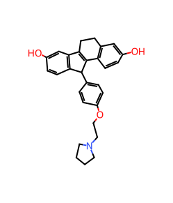 Oc1ccc2c(c1)CCC1=C2C(c2ccc(OCCN3CCCC3)cc2)c2ccc(O)cc21